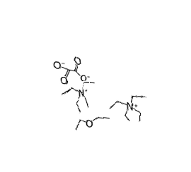 CCOCC.CC[N+](CC)(CC)CC.CC[N+](CC)(CC)CC.O=C([O-])C(=O)[O-]